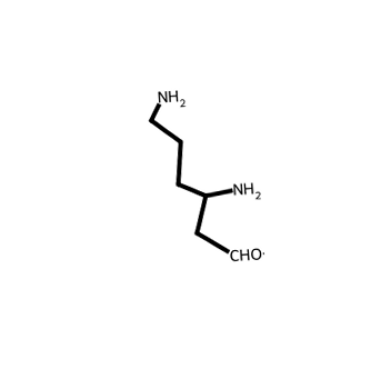 NCCCC(N)C[C]=O